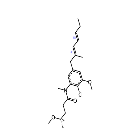 CC/C=C/C=C(\C)Cc1cc(OC)c(Cl)c(N(C)C(=O)CC[C@H](C)OC)c1